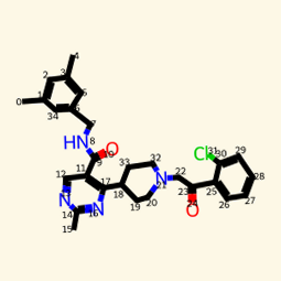 Cc1cc(C)cc(CNC(=O)c2cnc(C)nc2C2CCN(CC(=O)c3ccccc3Cl)CC2)c1